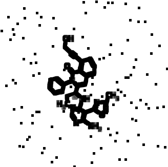 CC[C@H](Nc1ncnc(N)c1-c1nc(C)no1)c1cc2cccc(C#CCO)c2c(=O)n1-c1ccccc1